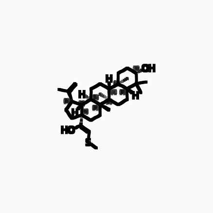 C=C(C)[C@@H]1CC[C@]2(C(O)=CSC)CC[C@]3(C)[C@H](CC[C@@H]4[C@@]5(C)CC[C@H](O)C(C)(C)[C@@H]5CC[C@]43C)[C@@H]12